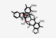 COc1c(C)cc2c(c1O)[C@@H]1N[C@H](C2)[C@H](O)N2C1[C@@H]1SC[C@]3(NCCc4c3[nH]c3ccc(C)cc43)C(=O)OC[C@H]2c2c3c(c(C)c(OC(C)=O)c21)OCO3